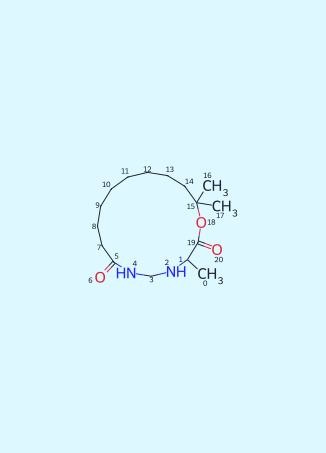 CC1NCNC(=O)CCCCCCCCC(C)(C)OC1=O